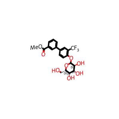 COC(=O)c1cccc(-c2ccc(OC3O[C@@H](CO)[C@@H](O)[C@@H](O)[C@@H]3O)c(C(F)(F)F)c2)c1